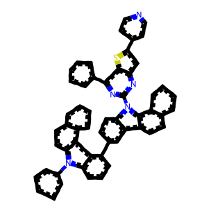 c1ccc(-c2nc(-n3c4ccc(-c5cccc6c5c5c7ccccc7ccc5n6-c5ccccc5)cc4c4ccc5ccccc5c43)nc3cc(-c4ccncc4)sc23)cc1